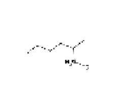 CCCCC(C)[SiH2][O]